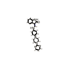 O=C1Nc2ccccc2/C1=C\Nc1ccc(N2CCN(c3ncccn3)CC2)cc1